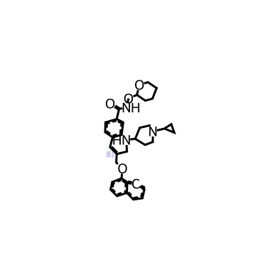 O=C(NOC1CCCCO1)c1ccc(/C=C(\CNC2CCN(C3CC3)CC2)COc2cccc3ccccc23)cc1